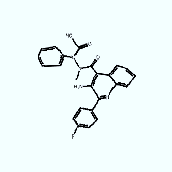 CN(C(=O)c1c(N)c(-c2ccc(F)cc2)nc2ccccc12)N(C(=O)O)c1ccccc1